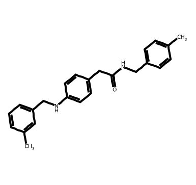 Cc1ccc(CNC(=O)Cc2ccc(NCc3cccc(C)c3)cc2)cc1